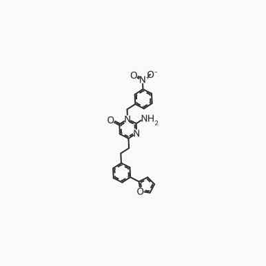 Nc1nc(CCc2cccc(-c3ccco3)c2)cc(=O)n1Cc1cccc([N+](=O)[O-])c1